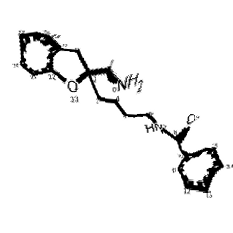 NCC1(CCCCNC(=O)c2ccccc2)Cc2ccccc2O1